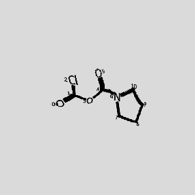 O=C(Cl)OC(=O)N1CCCC1